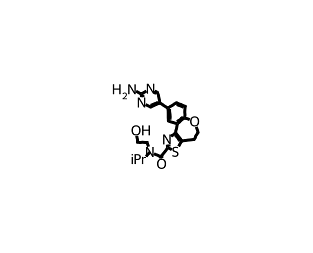 CC(C)N(CCO)C(=O)c1nc2c(s1)CCOc1ccc(-c3cnc(N)nc3)cc1-2